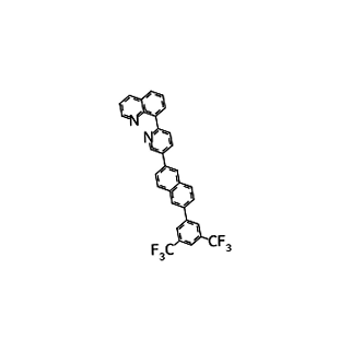 FC(F)(F)c1cc(-c2ccc3cc(-c4ccc(-c5cccc6cccnc56)nc4)ccc3c2)cc(C(F)(F)F)c1